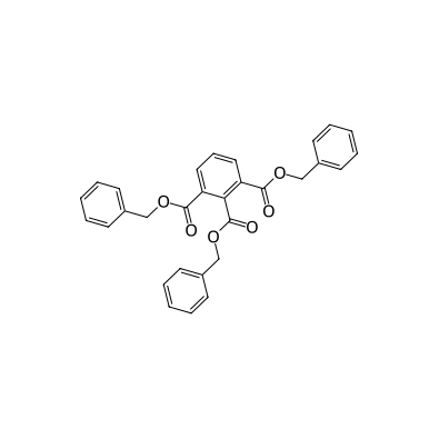 O=C(OCc1ccccc1)c1cccc(C(=O)OCc2ccccc2)c1C(=O)OCc1ccccc1